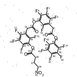 O=C(Cc1c(F)c(F)c(F)c(OC(=O)Cc2c(F)c(F)c(F)c(OC(=O)CCC[N+](=O)[O-])c2F)c1F)Oc1c(F)c(F)c(F)c(F)c1F